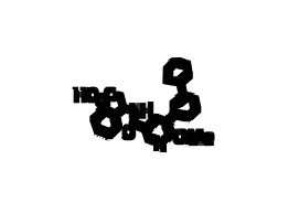 COc1ncc(C(=O)NC(CC(=O)O)c2ccccc2Cl)cc1-c1cccc(-c2ccccc2)c1